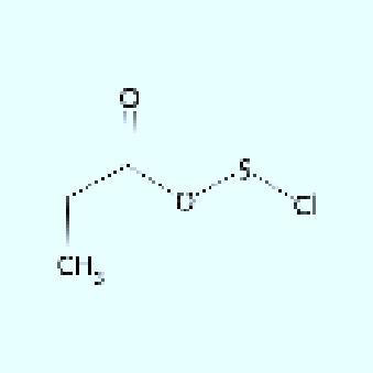 CCC(=O)OSCl